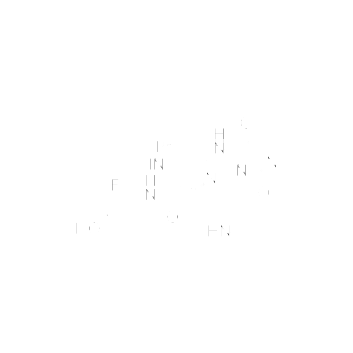 CC(C)Nc1cc(Nc2nc(OC3CCNCC3)ncc2Cl)ncc1C(=O)NC[C@@H](F)C(C)(C)O